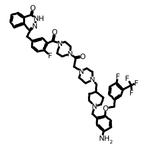 Nc1ccc(OCc2ccc(F)c(C(F)(F)F)c2)c(CN2CCC(CN3CCN(CC(=O)N4CCN(C(=O)c5cc(Cc6n[nH]c(=O)c7ccccc67)ccc5F)CC4)CC3)CC2)c1